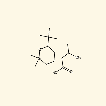 CC(C)(C)C1CCC[Si](C)(C)O1.CC(O)CC(=O)O